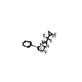 F[C@@H]1CC1C(F)(F)c1nc2n(n1)[C@H](c1ccccc1)C[C@@H]2F